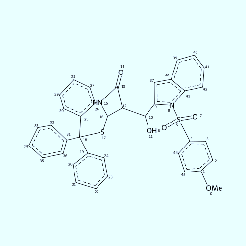 COc1ccc(S(=O)(=O)n2c(C(O)C3C(=O)NC3SC(c3ccccc3)(c3ccccc3)c3ccccc3)cc3ccccc32)cc1